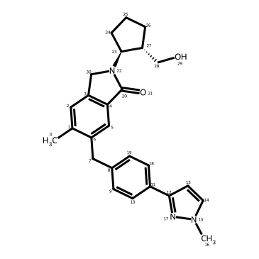 Cc1cc2c(cc1Cc1ccc(-c3ccn(C)n3)cc1)C(=O)N([C@H]1CCC[C@@H]1CO)C2